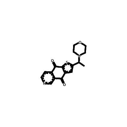 CC(c1cc2c(s1)C(=O)c1ccncc1C2=O)N1CCOCC1